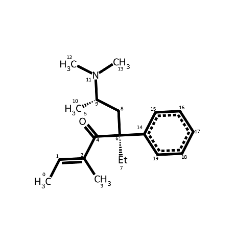 C/C=C(\C)C(=O)[C@@](CC)(C[C@H](C)N(C)C)c1ccccc1